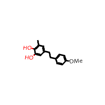 COc1ccc(CCc2cc(C)c(O)c(O)c2)cc1